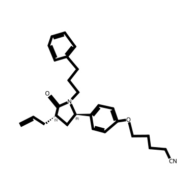 C=CC[C@H]1C[C@H](c2ccc(OCCCCC#N)cc2)N(CCCc2ccccc2)C1=O